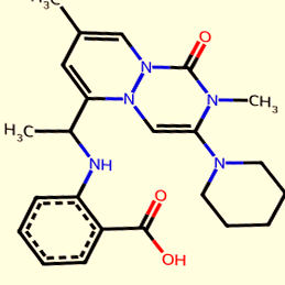 CC1=CN2C(=O)N(C)C(N3CCCCC3)=CN2C(C(C)Nc2ccccc2C(=O)O)=C1